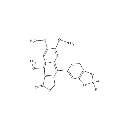 COc1cc2c(OC)c3c(c(-c4ccc5c(c4)OC(F)(F)O5)c2cc1OC)COC3=O